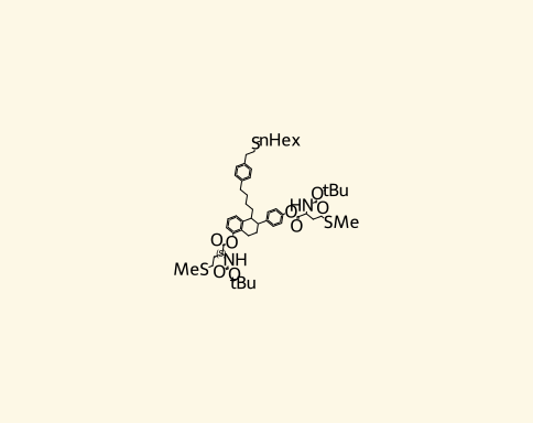 CCCCCCSCCc1ccc(CCCCC2c3cccc(OC(=O)[C@H](CCSC)NC(=O)OC(C)(C)C)c3CCC2c2ccc(OC(=O)C(CCSC)NC(=O)OC(C)(C)C)cc2)cc1